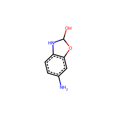 Nc1ccc2c(c1)OC(O)N2